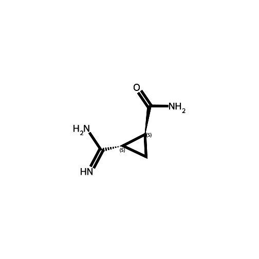 N=C(N)[C@H]1C[C@@H]1C(N)=O